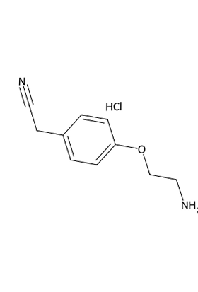 Cl.N#CCc1ccc(OCCN)cc1